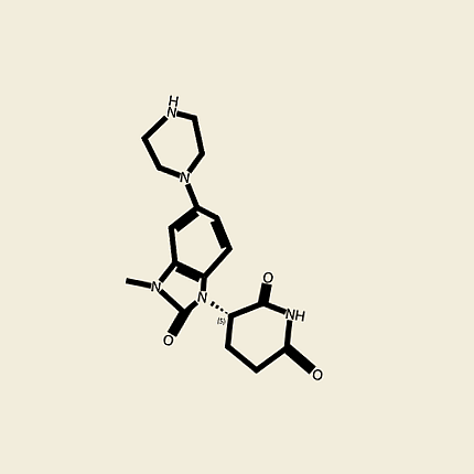 Cn1c(=O)n([C@H]2CCC(=O)NC2=O)c2ccc(N3CCNCC3)cc21